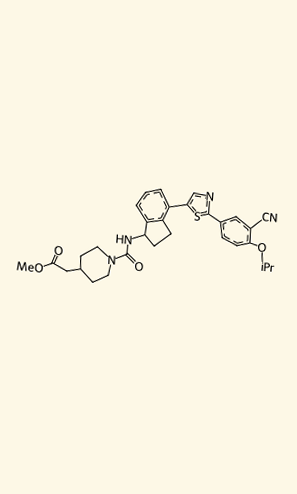 COC(=O)CC1CCN(C(=O)NC2CCc3c(-c4cnc(-c5ccc(OC(C)C)c(C#N)c5)s4)cccc32)CC1